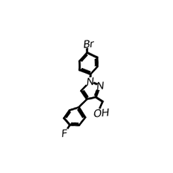 OCc1nn(-c2ccc(Br)cc2)cc1-c1ccc(F)cc1